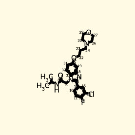 CC(C)NC(=O)Cn1c(-c2ccc(F)c(Cl)c2)nc2cc(OCCCN3CCOCC3)ccc21